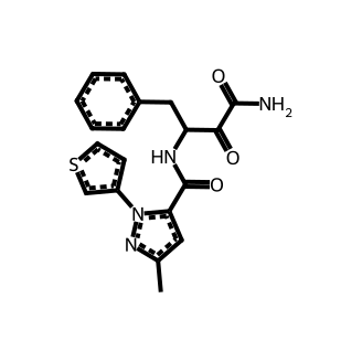 Cc1cc(C(=O)NC(Cc2ccccc2)C(=O)C(N)=O)n(-c2ccsc2)n1